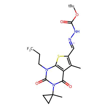 Cc1c(/C=N/NC(=O)OC(C)(C)C)sc2c1c(=O)n(C1(C)CC1)c(=O)n2CCC(F)(F)F